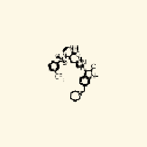 CN1C(=O)C(n2cc(CC3C(=O)NC=CN3S(=O)(=O)c3cccc(C(F)(F)F)c3)nn2)c2ccc(CN3CCCCC3)cc21